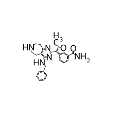 Cc1oc2c(C(N)=O)cccc2c1-c1nc2c(c(NCc3ccccc3)n1)CCNCC2